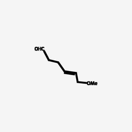 COCC=CCCC=O